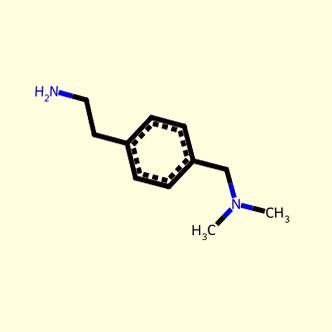 CN(C)Cc1ccc(CCN)cc1